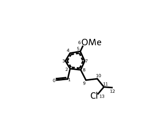 C=Cc1ccc(OC)cc1CCC(C)Cl